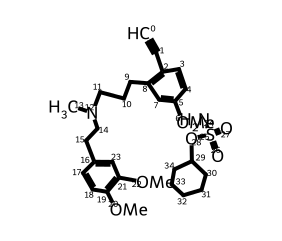 C#Cc1ccc(OC)cc1CCCN(C)CCc1ccc(OC)c(OC)c1.NS(=O)(=O)OC1CCCCC1